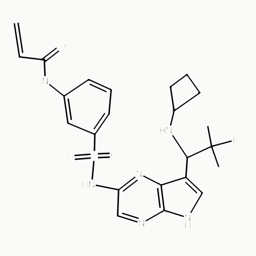 C=CC(=O)Nc1cccc(S(=O)(=O)Nc2cnc3[nH]cc(C(NC4CCC4)C(F)(F)F)c3n2)c1